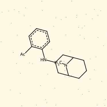 CC(=O)c1ccccc1NC1CC2CCCC(C1)N2C